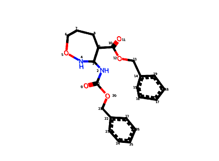 O=C(NC1NOCCCC1C(=O)OCc1ccccc1)OCc1ccccc1